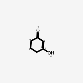 O=C1C=C(O)CCC1